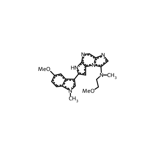 COCCN(C)c1cnc2cnc3[nH]c(-c4cn(C)c5ccc(OC)cc45)cc3n12